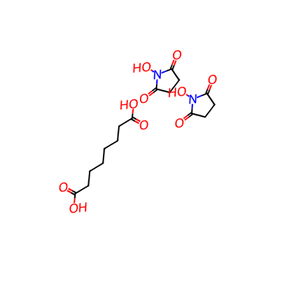 O=C(O)CCCCCCC(=O)O.O=C1CCC(=O)N1O.O=C1CCC(=O)N1O